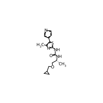 Cc1nc(NC(=O)N[C@H](C)COCC2CC2)sc1-c1ccncc1